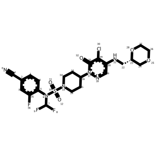 N#Cc1ccc(N(C(F)F)S(=O)(=O)N2CCC(n3ncc(NC[C@H]4COCCO4)c(Cl)c3=O)CC2)c(F)c1